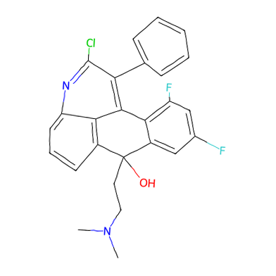 CN(C)CCC1(O)c2cc(F)cc(F)c2-c2c(-c3ccccc3)c(Cl)nc3cccc1c23